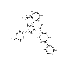 O=C(c1nc(-c2ccc(C(F)(F)F)cc2)oc1-c1ccccc1[N+](=O)[O-])N1CCC(c2ccccc2)CC1